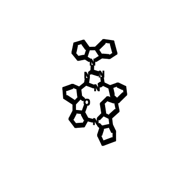 c1ccc(-c2nc(-c3cccc4c3oc3c(-n5c6ccccc6c6ccccc65)cccc34)nc(-n3c4ccccc4c4ccccc43)n2)cc1